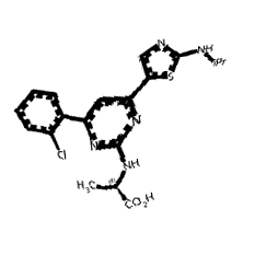 CC(C)Nc1ncc(-c2cc(-c3ccccc3Cl)nc(N[C@H](C)C(=O)O)n2)s1